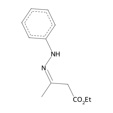 CCOC(=O)CC(C)=NNc1ccccc1